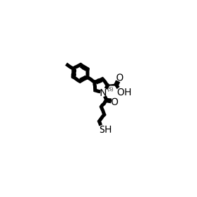 Cc1ccc(C2=C[C@@H](C(=O)O)N(C(=O)CCCS)C2)cc1